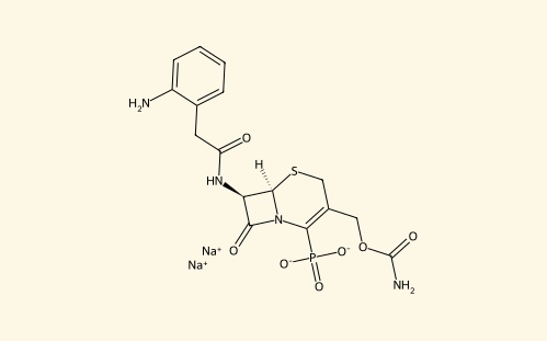 NC(=O)OCC1=C(P(=O)([O-])[O-])N2C(=O)[C@@H](NC(=O)Cc3ccccc3N)[C@H]2SC1.[Na+].[Na+]